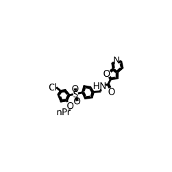 CCCOc1ccc(Cl)cc1S(=O)(=O)c1ccc(CNC(=O)c2cc3ccncc3o2)cc1